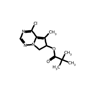 CC1=C2C(Cl)=NC=NN2CC1OC(=O)C(C)(C)C